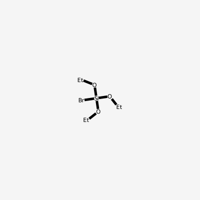 CCO[Si](Br)(OCC)OCC